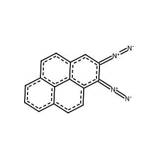 [N-]=[N+]=c1cc2ccc3cccc4ccc(c1=[N+]=[N-])c2c34